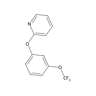 FC(F)(F)Oc1cccc(Oc2ccccn2)c1